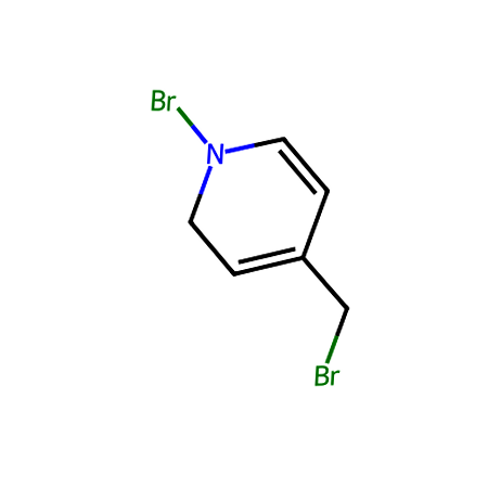 BrCC1=CCN(Br)C=C1